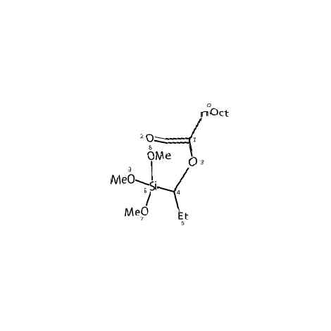 CCCCCCCCC(=O)OC(CC)[Si](OC)(OC)OC